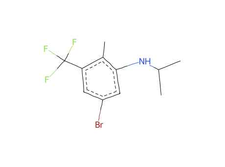 Cc1c(NC(C)C)cc(Br)cc1C(F)(F)F